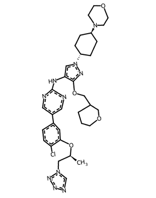 C[C@@H](Cn1cnnn1)Oc1cc(-c2cnc(Nc3cn([C@H]4CC[C@H](N5CCOCC5)CC4)nc3OCC3CCCOC3)nc2)ccc1Cl